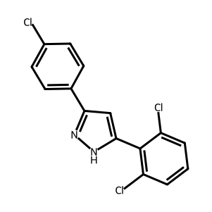 Clc1ccc(-c2cc(-c3c(Cl)cccc3Cl)[nH]n2)cc1